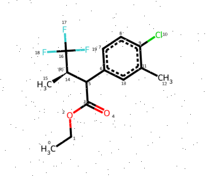 CCOC(=O)C(c1ccc(Cl)c(C)c1)[C@@H](C)C(F)(F)F